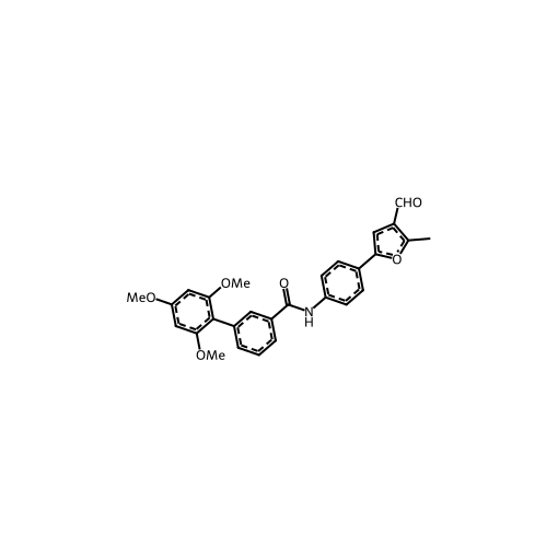 COc1cc(OC)c(-c2cccc(C(=O)Nc3ccc(-c4cc(C=O)c(C)o4)cc3)c2)c(OC)c1